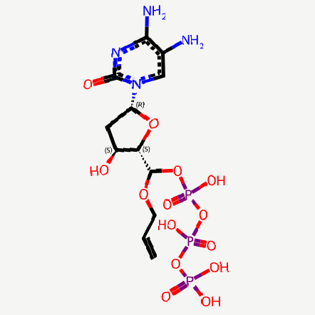 C=CCOC(OP(=O)(O)OP(=O)(O)OP(=O)(O)O)[C@H]1O[C@@H](n2cc(N)c(N)nc2=O)C[C@@H]1O